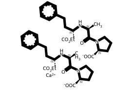 CCOC(=O)[C@H](CCc1ccccc1)N[C@@H](C)C(=O)N1CCC[C@H]1C(=O)[O-].CCOC(=O)[C@H](CCc1ccccc1)N[C@@H](C)C(=O)N1CCC[C@H]1C(=O)[O-].[Ca+2]